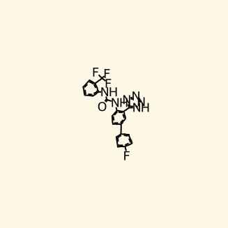 O=C(Nc1ccc(-c2ccc(F)cc2)cc1-c1nnn[nH]1)Nc1ccccc1C(F)(F)F